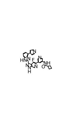 O=C(Nc1cncc(-c2ncc3[nH]nc(-c4nc5c(-c6ccncc6)cccc5[nH]4)c3c2F)c1)C1CCC1